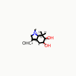 CN1CC(C=O)=C2CC(O)C(O)C(C)(C)C21